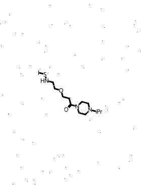 CC(C)N1CCN(C(=O)CCOCCNSI)CC1